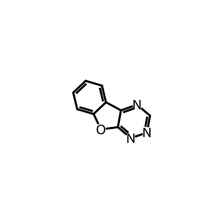 c1ccc2c(c1)oc1nncnc12